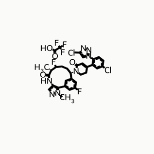 C[C@H]1C(=O)Nc2cnn(C)c2-c2cc(F)cc(c2)[C@@H](N2CCC(c3cc(Cl)ccc3-n3cc(Cl)nn3)=CC2=O)CCC1F.O=C(O)C(F)(F)F